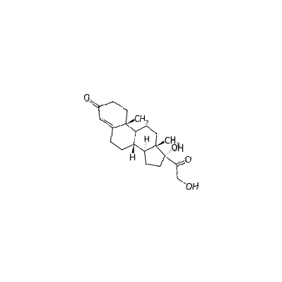 C[C@]12CCC(=O)C=C1CC[C@@H]1C2CC[C@@]2(C)[C@H]1CC[C@]2(O)C(=O)CO